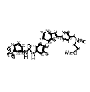 COCCN(Cc1ccc(-c2cc3nccc(Oc4ccc(NC(=O)Nc5cccc(S(C)(=O)=O)c5)cc4F)c3s2)nc1)C(C)=O